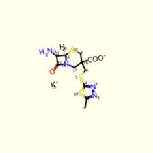 Cc1nnc(SCC2(C(=O)[O-])CS[C@@H]3C(N)C(=O)N3C2)s1.[K+]